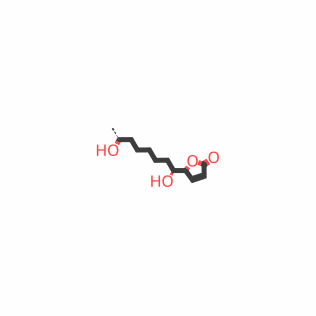 C[C@@H](O)CCCCC[C@H](O)C1C=CC(=O)O1